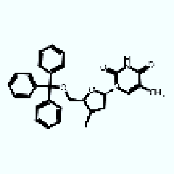 Cc1cn([C@H]2CC(I)[C@@H](COC(c3ccccc3)(c3ccccc3)c3ccccc3)O2)c(=O)[nH]c1=O